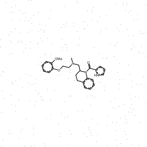 COc1ccccc1OCCN(C)CC1CCc2ccccc2N1C(=O)c1ccc[nH]1